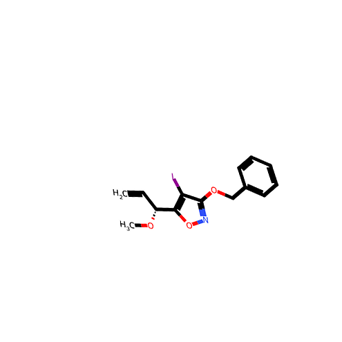 C=C[C@@H](OC)c1onc(OCc2ccccc2)c1I